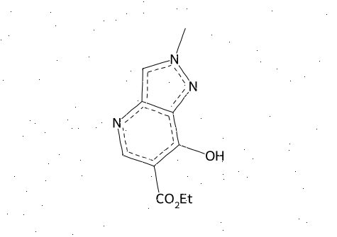 CCOC(=O)c1cnc2cn(C)nc2c1O